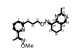 CON=C(C)c1cccc(CCCON=C2CCCc3cnc(C)nc32)n1